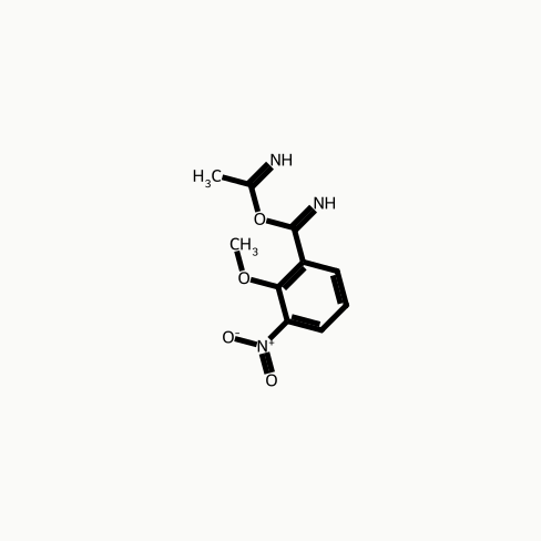 COc1c(C(=N)OC(C)=N)cccc1[N+](=O)[O-]